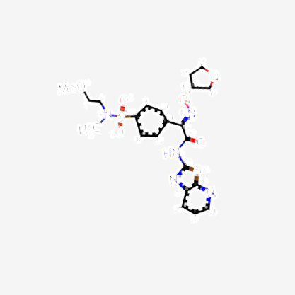 COCCN(C)S(=O)(=O)c1ccc(/C(=N\O[C@@H]2CCOC2)C(=O)Nc2nc3cccnc3s2)cc1